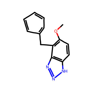 COc1ccc2[nH]nnc2c1Cc1ccccc1